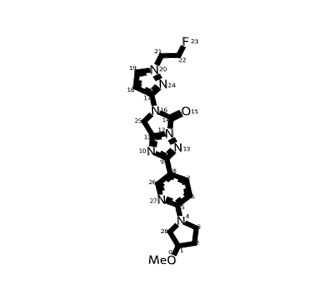 COC1CCN(c2ccc(-c3nc4n(n3)C(=O)N(c3ccn(CCF)n3)C4)cn2)C1